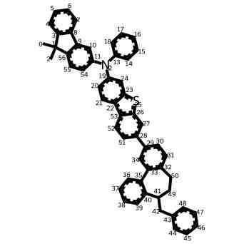 CC1(C)c2ccccc2-c2cc(N(c3ccccc3)c3ccc4c(c3)sc3cc(-c5ccc6c(c5)-c5ccccc5C(Cc5ccccc5)CC6)ccc34)ccc21